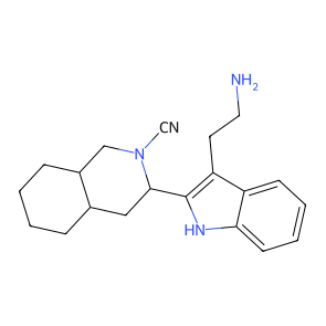 N#CN1CC2CCCCC2CC1c1[nH]c2ccccc2c1CCN